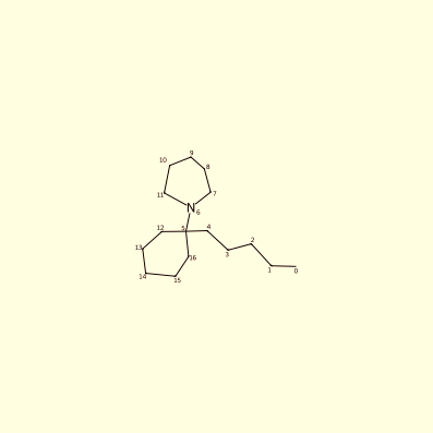 CCCCCC1(N2CCCCC2)CCCCC1